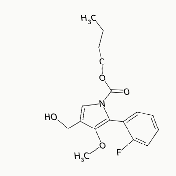 CCCCOC(=O)n1cc(CO)c(OC)c1-c1ccccc1F